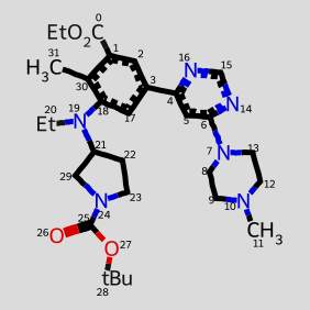 CCOC(=O)c1cc(-c2cc(N3CCN(C)CC3)ncn2)cc(N(CC)C2CCN(C(=O)OC(C)(C)C)C2)c1C